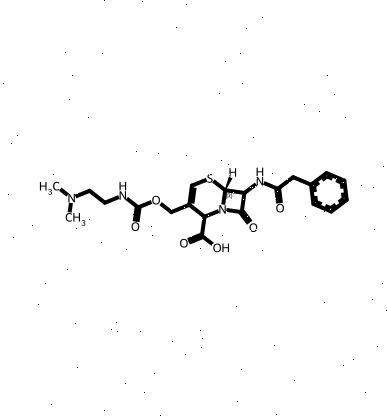 CN(C)CCNC(=O)OCC1=CS[C@@H]2C(NC(=O)Cc3ccccc3)C(=O)N2C1C(=O)O